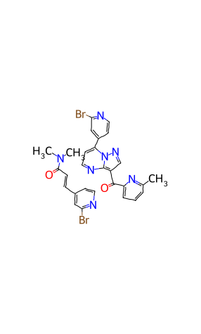 CN(C)C(=O)C=Cc1ccnc(Br)c1.Cc1cccc(C(=O)c2cnn3c(-c4ccnc(Br)c4)ccnc23)n1